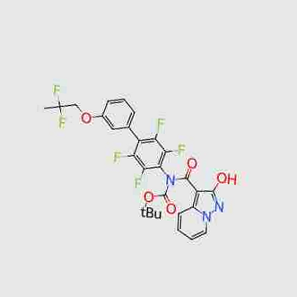 CC(F)(F)COc1cccc(-c2c(F)c(F)c(N(C(=O)OC(C)(C)C)C(=O)c3c(O)nn4ccccc34)c(F)c2F)c1